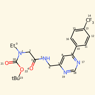 CCN(CC(=O)NCc1cc(-c2ccc(C(F)(F)F)cc2)ncn1)C(=O)OC(C)(C)C